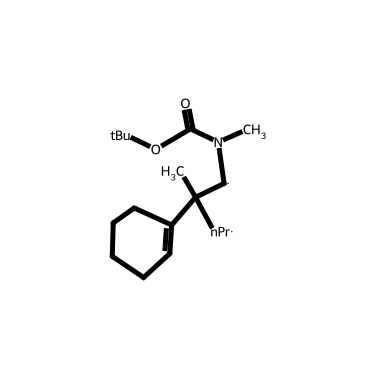 CC[CH]C(C)([CH]N(C)C(=O)OC(C)(C)C)C1=CCCCC1